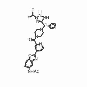 CC(=O)Nc1ccc2oc(-c3ccnc(C(=O)N4CCN([C@H](C5=NN(C(F)F)NN5)c5ccsc5)CC4)c3)nc2c1